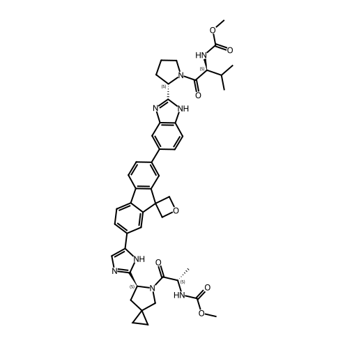 COC(=O)N[C@@H](C)C(=O)N1CC2(CC2)C[C@H]1c1ncc(-c2ccc3c(c2)C2(COC2)c2cc(-c4ccc5[nH]c([C@@H]6CCCN6C(=O)[C@@H](NC(=O)OC)C(C)C)nc5c4)ccc2-3)[nH]1